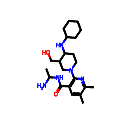 Cc1cc(C(=O)NC(C)N)c(N2CCC(NC3CCCCC3)C(CO)C2)nc1C